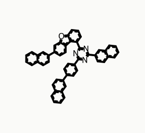 c1ccc2cc(-c3ccc(-c4nc(-c5ccc6ccccc6c5)nc(-c5cccc6oc7cc(-c8ccc9ccccc9c8)ccc7c56)n4)cc3)ccc2c1